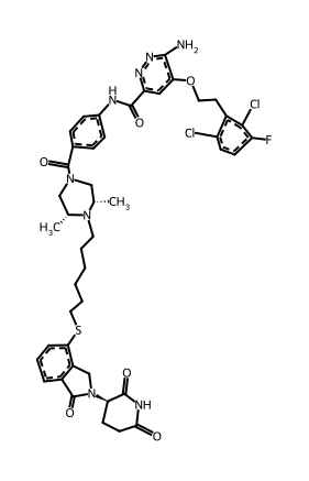 C[C@@H]1CN(C(=O)c2ccc(NC(=O)c3cc(OCCc4c(Cl)ccc(F)c4Cl)c(N)nn3)cc2)C[C@H](C)N1CCCCCCSc1cccc2c1CN([C@@H]1CCC(=O)NC1=O)C2=O